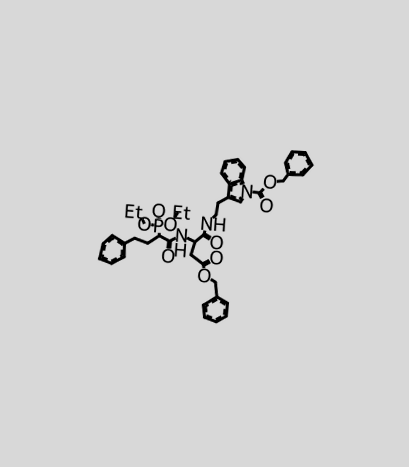 CCOP(=O)(OCC)C(CCc1ccccc1)C(=O)NC(CC(=O)OCc1ccccc1)C(=O)NCCc1cn(C(=O)OCc2ccccc2)c2ccccc12